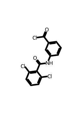 O=C(Cl)c1cccc(NC(=O)c2c(Cl)cccc2Cl)c1